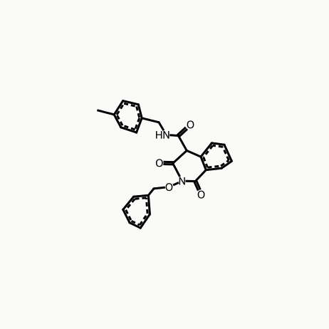 Cc1ccc(CNC(=O)C2C(=O)N(OCc3ccccc3)C(=O)c3ccccc32)cc1